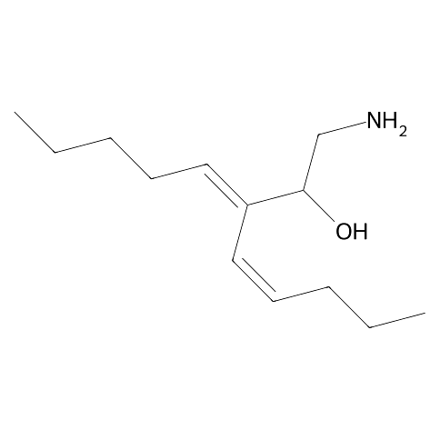 CCC/C=C\C(=C/CCCC)C(O)CN